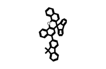 CC1(C)c2ccccc2-c2ccc(-c3cc4c(c5ccccc35)Oc3c(ccc5ccccc35)C43c4ccccc4-c4ccccc43)cc21